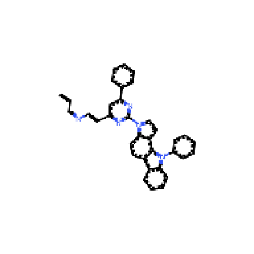 C=C/C=N\C=C\c1cc(-c2ccccc2)nc(-n2ccc3c2ccc2c4ccccc4n(-c4ccccc4)c23)n1